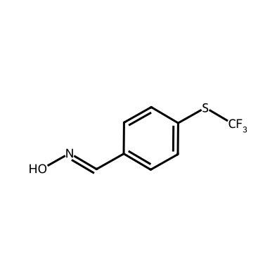 ON=Cc1ccc(SC(F)(F)F)cc1